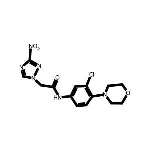 O=C(Cn1cnc([N+](=O)[O-])n1)Nc1ccc(N2CCOCC2)c(Cl)c1